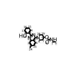 CCNC(=O)OC1CCN(c2nc(-c3ccccc3O)nc3cc(C)ccc23)CC1